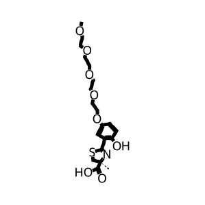 COCCOCCOCCOCCOc1ccc(O)c(C2=N[C@@](C)(C(=O)O)CS2)c1